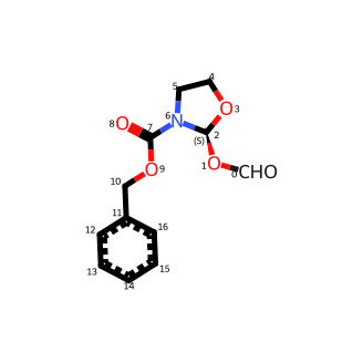 O=CO[C@@H]1OCCN1C(=O)OCc1ccccc1